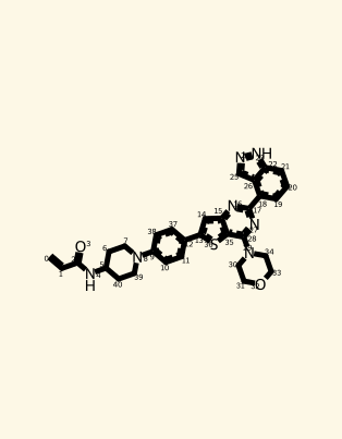 C=CC(=O)NC1CCN(c2ccc(-c3cc4nc(-c5cccc6[nH]ncc56)nc(N5CCOCC5)c4s3)cc2)CC1